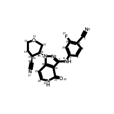 N#Cc1ccc(Nc2nn([C@H]3COCC[C@@H]3C#N)c3cc[nH]c(=O)c23)cc1F